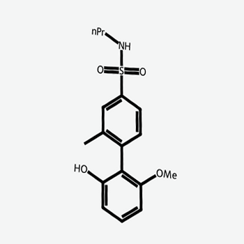 CCCNS(=O)(=O)c1ccc(-c2c(O)cccc2OC)c(C)c1